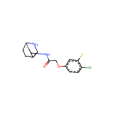 O=C(COc1ccc(Cl)c(F)c1)NC1CC2CCC1CN2